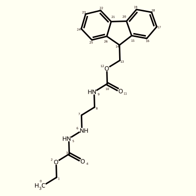 CCOC(=O)NNCCNC(=O)OCC1c2ccccc2-c2ccccc21